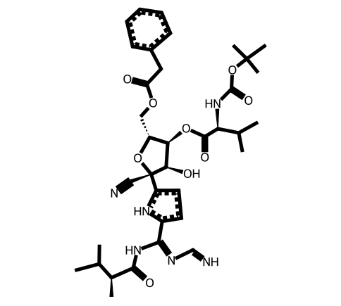 CC(C)[C@H](C)C(=O)N/C(=N/C=N)c1ccc([C@]2(C#N)O[C@H](COC(=O)Cc3ccccc3)[C@@H](OC(=O)[C@@H](NC(=O)OC(C)(C)C)C(C)C)[C@H]2O)[nH]1